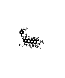 CN(C)c1cc(CNCc2ccc(C(=O)O)cc2)c(O)c2c1C[C@H]1C[C@H]3[C@@H](N(C)C)C(O)=C(C(N)=O)C(=O)[C@@]3(O)C(O)=C1C2=O